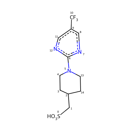 O=S(=O)(O)CC1CCN(c2ncc(C(F)(F)F)cn2)CC1